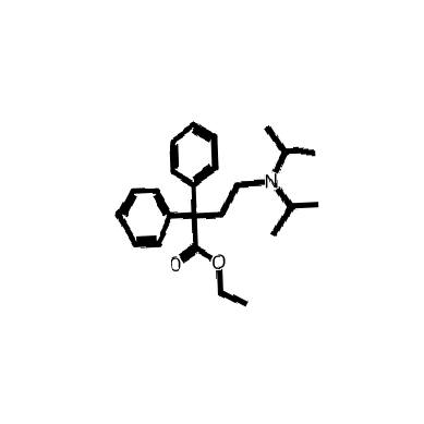 CCOC(=O)C(CCN(C(C)C)C(C)C)(c1ccccc1)c1ccccc1